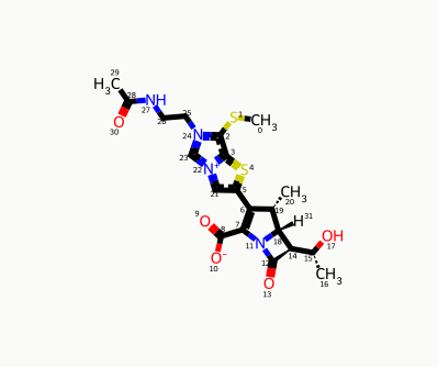 CSc1c2sc(C3=C(C(=O)[O-])N4C(=O)[C@H]([C@@H](C)O)[C@H]4[C@H]3C)c[n+]2cn1CCNC(C)=O